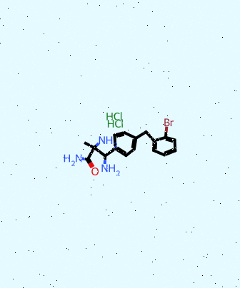 CC(N)(C(N)=O)C(N)c1ccc(Cc2ccccc2Br)cc1.Cl.Cl